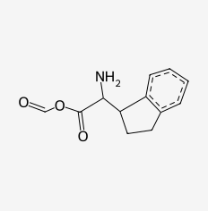 NC(C(=O)OC=O)C1CCc2ccccc21